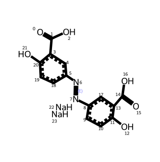 O=C(O)c1cc(/N=N/c2ccc(O)c(C(=O)O)c2)ccc1O.[NaH].[NaH]